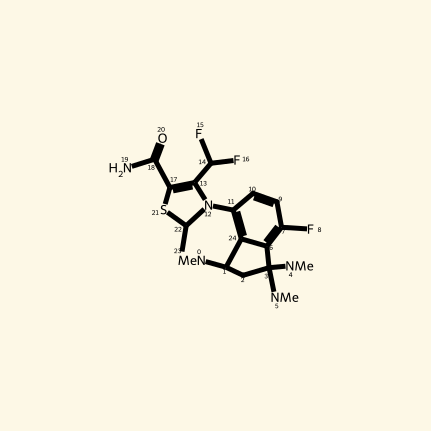 CNC1CC(NC)(NC)c2c(F)ccc(N3C(C(F)F)=C(C(N)=O)SC3C)c21